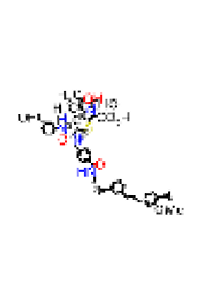 COc1cc(CCCc2cccc(C3C[C@@H]3CCNC(=O)c3ccc(CN4C[C@@H](SC5=C(C(=O)O)N(C=O)C([C@H](C)[C@@H](C)O)[C@H]5C)C[C@H]4C(=O)Nc4cccc(C=O)c4)cc3)c2)ccc1C1CC1